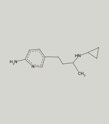 CC(CCc1ccc(N)nc1)NC1CC1